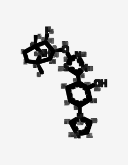 C[C@@]12CC[C@@](C)(N1)[C@@H](F)[C@@H](Oc1nnc(-c3ccc(-n4ccnc4)cc3O)s1)C2